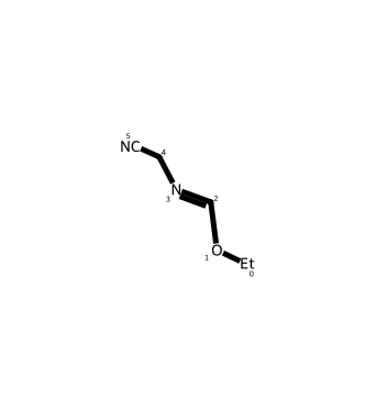 CCOC=NCC#N